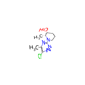 Cc1nc(N2CCC[C@@H](O)[C@H]2C)nnc1Cl